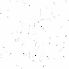 Fc1ccccc1-c1ccc2ncnc(Nc3cccc(Cl)c3)c2c1